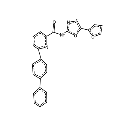 O=C(Nc1nnc(-c2ccco2)o1)c1cccc(-c2ccc(-c3ccccc3)cc2)n1